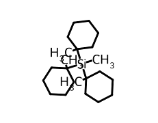 CC1([Si](C)(C2(C)CCCCC2)C2(C)CCCCC2)CCCCC1